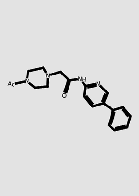 CC(=O)N1CCN(CC(=O)Nc2ccc(-c3ccccc3)cn2)CC1